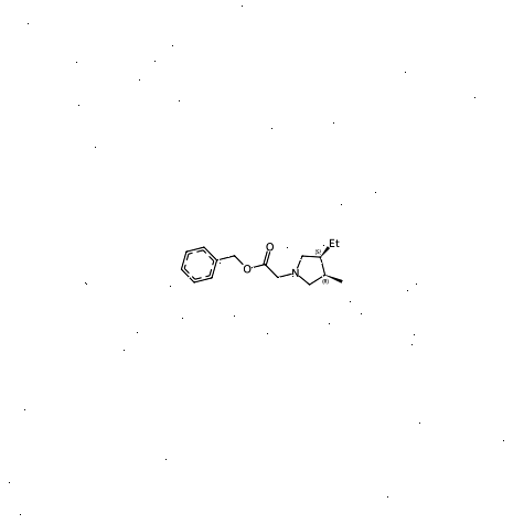 CC[C@@H]1CN(CC(=O)OCc2ccccc2)C[C@@H]1C